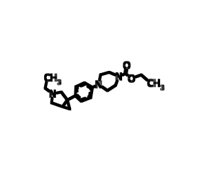 CCOC(=O)N1CCN(c2ccc(C34CC3CN(CC)C4)cc2)CC1